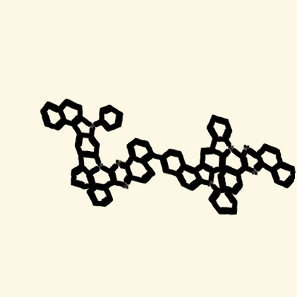 c1ccc(-c2nc3c(ccc4ccccc43)nc2-n2c3ccccc3c3cc4c5c6ccc(-c7cccc8c7ccc7nc(-c9ccccc9)c(-n9c%10ccccc%10c%10cc%11c%12c%13ccccc%13ccc%12n(-c%12ccccc%12)c%11cc%109)nc78)cc6ccc5n(-c5ccccc5)c4cc32)cc1